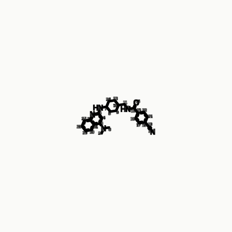 CN(C)c1cc(NC2CCC(CNC(=O)c3ccc(C#N)cc3)CC2)nc2ccccc12